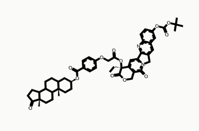 CC[C@@]1(OC(=O)COc2ccc(C(=O)O[C@H]3CC[C@@]4(C)C(CCC5C4CC[C@]4(C)C(=O)CCC54)C3)cc2)C(=O)OCc2c1cc1n(c2=O)Cc2cc3cc(OC(=O)OC(C)(C)C)ccc3nc2-1